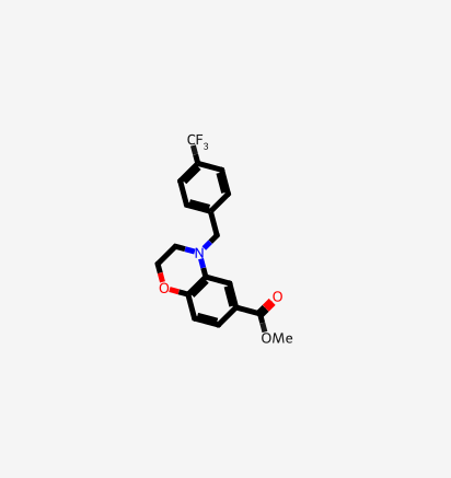 COC(=O)c1ccc2c(c1)N(Cc1ccc(C(F)(F)F)cc1)CCO2